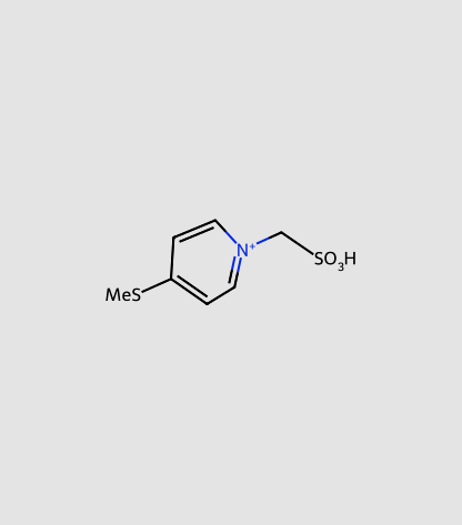 CSc1cc[n+](CS(=O)(=O)O)cc1